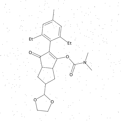 CCc1cc(C)cc(CC)c1C1=C(OC(=O)N(C)C)C2CC(C3OCCO3)CC2C1=O